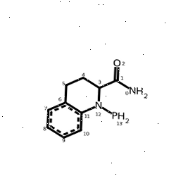 NC(=O)C1CCc2ccccc2N1P